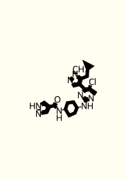 Cn1ncc(-c2nc(N[C@H]3CC[C@@H](NC(=O)c4cn[nH]c4)CC3)ncc2Cl)c1CC1CC1